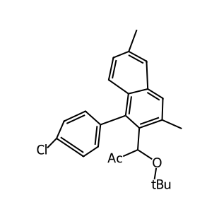 CC(=O)C(OC(C)(C)C)c1c(C)cc2cc(C)ccc2c1-c1ccc(Cl)cc1